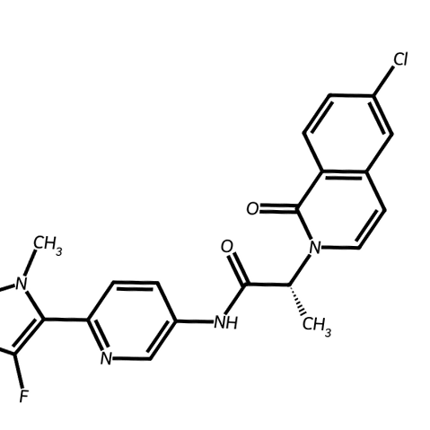 C[C@H](C(=O)Nc1ccc(-c2c(F)cnn2C)nc1)n1ccc2cc(Cl)ccc2c1=O